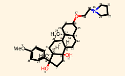 COc1ccc(C2(O)CC[C@@]3(O)[C@@H]4CCC5CC(OCCN6CCCC6)CC[C@]5(C)[C@@H]4CC[C@]23C)cc1